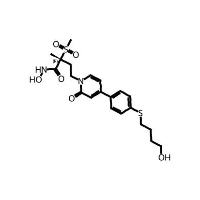 C[C@@](CCn1ccc(-c2ccc(SCCCCO)cc2)cc1=O)(C(=O)NO)S(C)(=O)=O